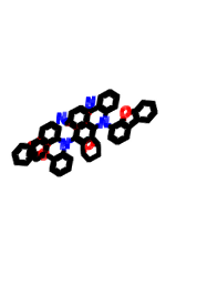 N#Cc1c(C#N)c(N(c2ccccc2-c2ccccc2)c2cccc3c2oc2ccccc23)c2c(c1N(c1ccccc1-c1ccccc1)c1cccc3c1oc1ccccc13)C1CCC2O1